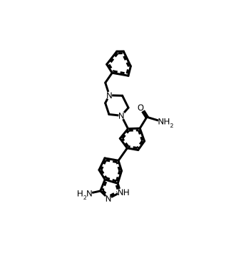 NC(=O)c1ccc(-c2ccc3c(N)n[nH]c3c2)cc1N1CCN(Cc2ccccc2)CC1